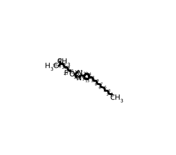 CCCCCCCCCCCCc1ccc(-c2ncc(OCC(F)CCCC(C)CC)cn2)cc1